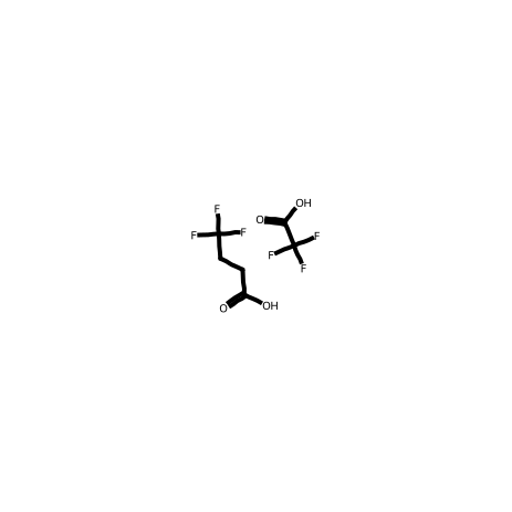 O=C(O)C(F)(F)F.O=C(O)CCC(F)(F)F